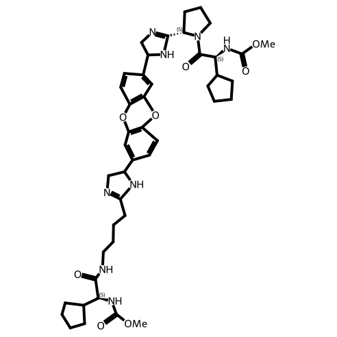 COC(=O)N[C@H](C(=O)NCCCCC1=NCC(c2ccc3c(c2)Oc2ccc(C4CN=C([C@@H]5CCCN5C(=O)[C@@H](NC(=O)OC)C5CCCC5)N4)cc2O3)N1)C1CCCC1